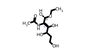 CCO[C@H](O)/C(NC(C)=O)=C(\O)C(O)CCO